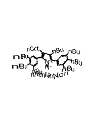 CCCCCCCCC1=C(c2cc(CCCC)c(CCCC)c(CCCC)c2)[N+](=[N-])C(c2cc(CCCC)c(CCCC)c(CCCC)c2)=C1CCCC.CCCCCCCC[CH2][Ni][CH2]CCCCCCCC